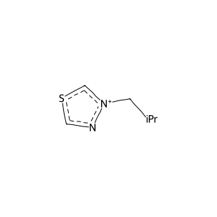 CC(C)C[n+]1cscn1